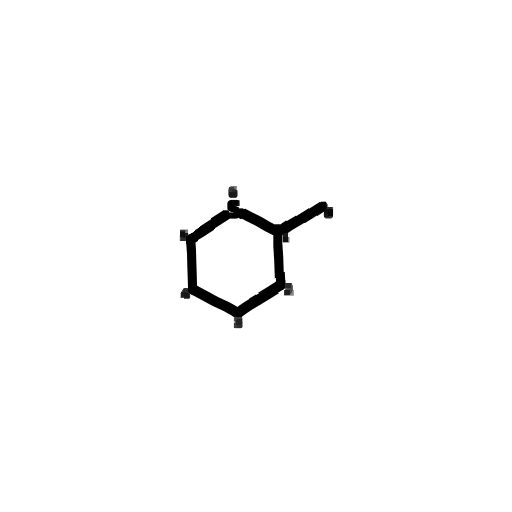 C[C]1CCCCS1